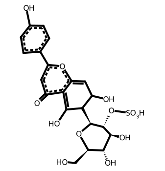 O=c1cc(-c2ccc(O)cc2)oc2c1=C(O)C([C@@H]1O[C@H](CO)[C@@H](O)[C@H](O)[C@H]1OS(=O)(=O)O)C(O)C=2